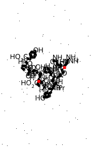 CC(C)C[C@H](NC(=O)[C@H](Cc1c[nH]c2ccccc12)NC(=O)[C@H](C)NC(=O)[C@H](CCCNC(=N)N)NC(=O)[C@@H](N)CC(N)=O)C(=O)N[C@@H](Cc1ccc(O)cc1)C(=O)N[C@@H](C)C(=O)N1CCC[C@H]1C(=O)N[C@@H](CCC(=O)O)C(=O)N[C@@H](CO)C(=O)N[C@H](C(=O)N1CCC[C@H]1C(=O)N[C@@H](Cc1ccc(O)cc1)C(=O)O)[C@@H](C)O